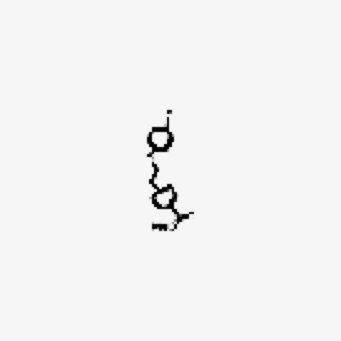 COC(=O)c1ccc(CCOc2ccc(F)cc2)cc1